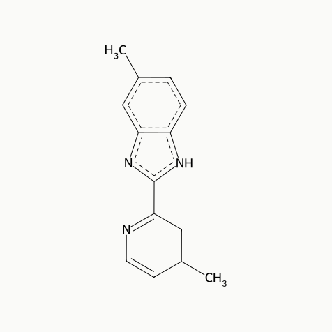 Cc1ccc2[nH]c(C3=NC=CC(C)C3)nc2c1